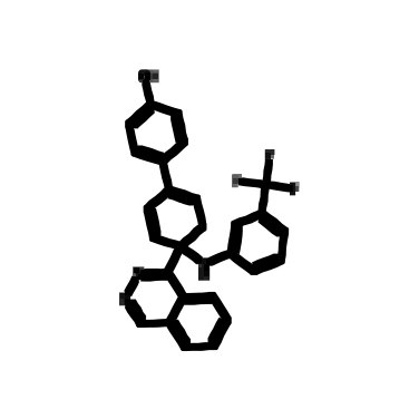 Oc1ccc(C2=CCC(Nc3cccc(C(F)(F)F)c3)(c3nncc4ccccc34)C=C2)cc1